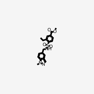 CCc1cc(C(=O)OC)ccc1S(=O)(=O)NCc1ccc2c(cnn2C)c1